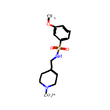 O=C(O)N1CCC(CNS(=O)(=O)c2cccc(OC(F)(F)F)c2)CC1